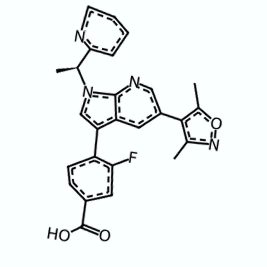 Cc1noc(C)c1-c1cnc2c(c1)c(-c1ccc(C(=O)O)cc1F)cn2[C@@H](C)c1ccccn1